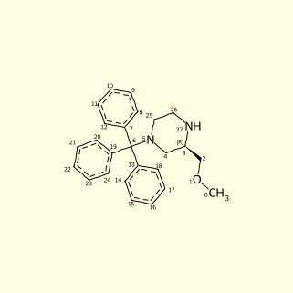 COC[C@H]1CN(C(c2ccccc2)(c2ccccc2)c2ccccc2)CCN1